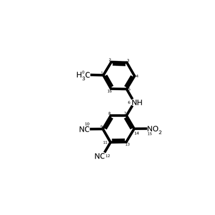 Cc1cccc(Nc2cc(C#N)c(C#N)cc2[N+](=O)[O-])c1